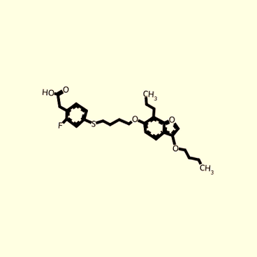 CCCCOc1coc2c(CCC)c(OCCCCSc3ccc(CC(=O)O)c(F)c3)ccc12